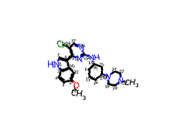 COc1ccc2[nH]cc(-c3nc(N[C@@H]4CCC[C@H](N5CCN(C)CC5)C4)ncc3Cl)c2c1